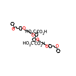 O=C(C=Cc1ccc(OCCCCCCOc2c(-c3ccc(C(=O)O)c(C(=O)O)c3OCCCCCCOc3ccc(C=CC(=O)c4ccccc4)cc3)ccc(C(=O)O)c2C(=O)O)cc1)c1ccccc1